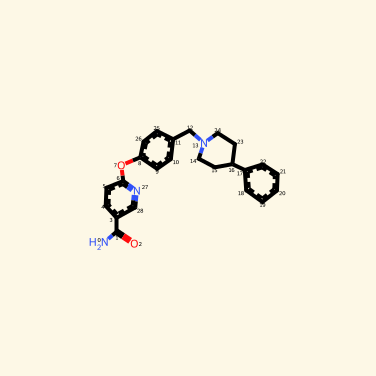 NC(=O)c1ccc(Oc2ccc(CN3CCC(c4ccccc4)CC3)cc2)nc1